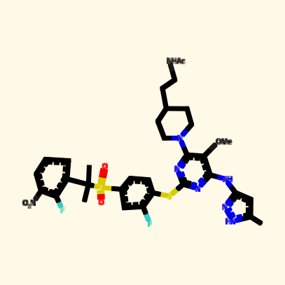 COc1c(Nc2cc(C)[nH]n2)nc(Sc2ccc(S(=O)(=O)C(C)(C)c3cccc([N+](=O)[O-])c3F)cc2F)nc1N1CCC(CCNC(C)=O)CC1